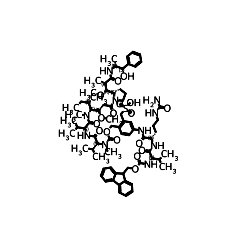 CC[C@H](C)[C@@H]([C@@H](CC(=O)N1CCC[C@H]1[C@H](OC)[C@@H](C)C(=O)N[C@H](C)[C@@H](O)c1ccccc1)OC)N(C)C(=O)[C@@H](NC(=O)[C@H](C(C)C)N(C)C(=O)OCc1ccc(NC(=O)[C@H](CCCNC(N)=O)NC(=O)[C@@H](NC(=O)OCC2c3ccccc3-c3ccccc32)C(C)C)cc1CS(=O)(=O)O)C(C)C